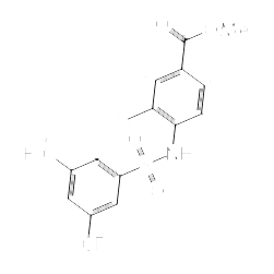 COC(=O)c1ccc(NS(=O)(=O)c2cc(C(F)(F)F)cc(C(F)(F)F)c2)c(C)c1